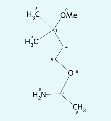 COC(C)(C)CCOC(C)N